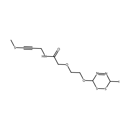 CSC#CCNC(=O)COCCOC1N=NC(I)SS1